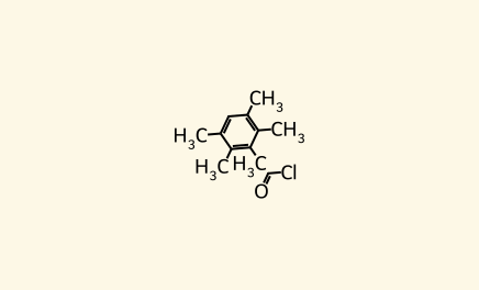 Cc1cc(C)c(C)c(C)c1C.O=CCl